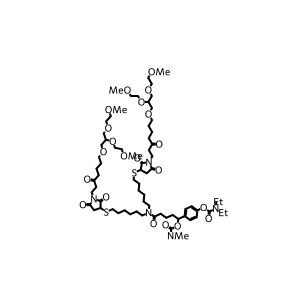 CCN(CC)C(=O)Oc1ccc(C(CCCC(=O)N(CCCCCCSC2CC(=O)N(CCC(=O)CCCCOCC(COCCOC)OCCOC)C2=O)CCCCCCSC2CC(=O)N(CCC(=O)CCCCOCC(COCCOC)OCCOC)C2=O)OC(=O)NC)cc1